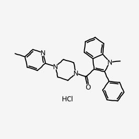 Cc1ccc(N2CCN(C(=O)c3c(-c4ccccc4)n(C)c4ccccc34)CC2)nc1.Cl